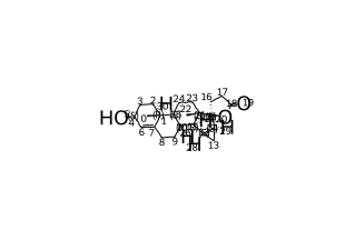 C[C@]12CC[C@H](O)C=C1CC[C@H]1[C@@H]3[C@@H]4C[C@@H]4[C@@]4(CCC(=O)O4)[C@@]3(C)CC[C@@H]12